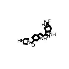 C[C@@]12Cc3[nH]nc(-c4cc5ccc(C(=O)N6CCNCC6)cc5[nH]4)c3C[C@@H]1C2(F)F